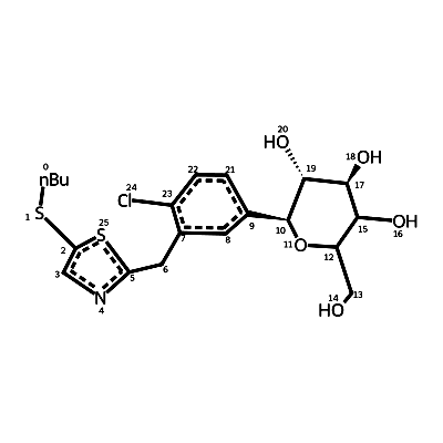 CCCCSc1cnc(Cc2cc([C@@H]3OC(CO)C(O)[C@H](O)[C@H]3O)ccc2Cl)s1